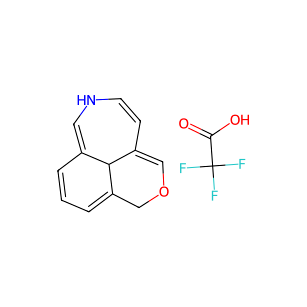 C1=CC2=CNC=CC3=COCC(=C1)C23.O=C(O)C(F)(F)F